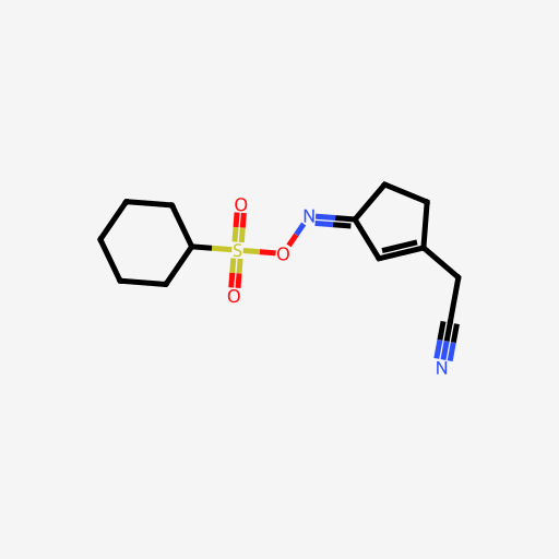 N#CCC1=C/C(=N\OS(=O)(=O)C2CCCCC2)CC1